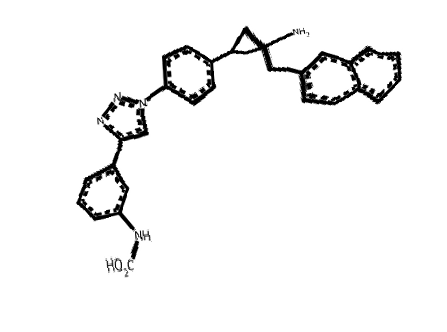 NC1(Cc2ccc3ccccc3c2)CC1c1ccc(-n2cc(-c3cccc(NC(=O)O)c3)nn2)cc1